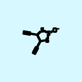 C#CC1S[S+]([O-])SC1C#C